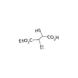 CCOC(=O)C(CC)C(S)C(=O)O